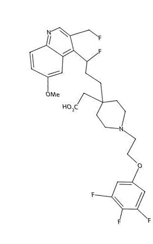 COc1ccc2ncc(CF)c(C(F)CCC3(CC(=O)O)CCN(CCOc4cc(F)c(F)c(F)c4)CC3)c2c1